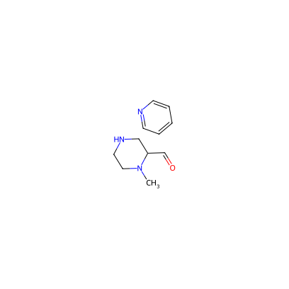 CN1CCNCC1C=O.c1ccncc1